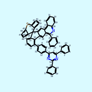 c1ccc(-c2cc(-c3ccc(-c4cccc5c4-c4cc6c(-c7ccccc7)nc7ccccc7c6cc4C54c5ccccc5Sc5ccccc54)cc3)nc(-c3ccccc3)n2)cc1